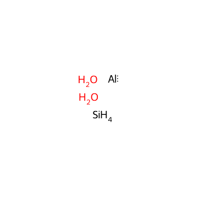 O.O.[Al].[SiH4]